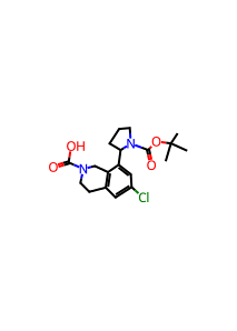 CC(C)(C)OC(=O)N1CCCC1c1cc(Cl)cc2c1CN(C(=O)O)CC2